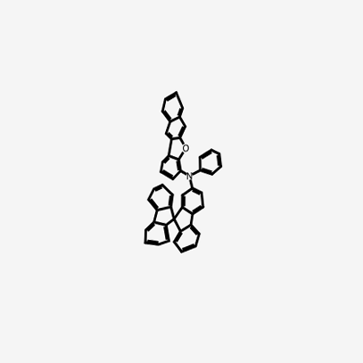 c1ccc(N(c2ccc3c(c2)C2(c4ccccc4-c4ccccc42)c2ccccc2-3)c2cccc3c2oc2cc4ccccc4cc23)cc1